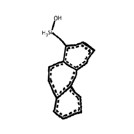 O[SiH2]c1cccc2c1ccc1ccccc12